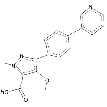 COc1c(-c2ccc(-c3cccnc3)cc2)nn(C)c1C(=O)O